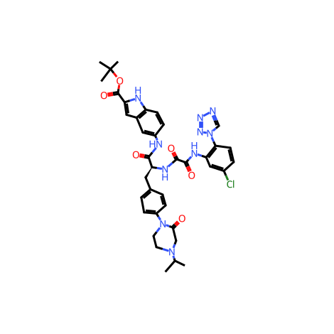 CC(C)N1CCN(c2ccc(C[C@H](NC(=O)C(=O)Nc3cc(Cl)ccc3-n3cnnn3)C(=O)Nc3ccc4[nH]c(C(=O)OC(C)(C)C)cc4c3)cc2)C(=O)C1